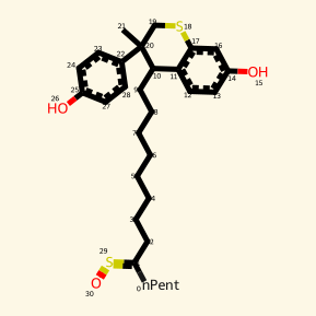 CCCCCC(CCCCCCCCC1c2ccc(O)cc2SCC1(C)c1ccc(O)cc1)=S=O